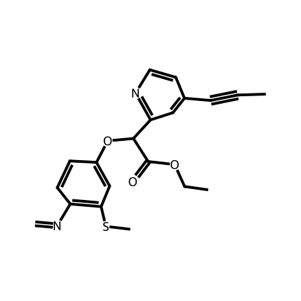 C=Nc1ccc(OC(C(=O)OCC)c2cc(C#CC)ccn2)cc1SC